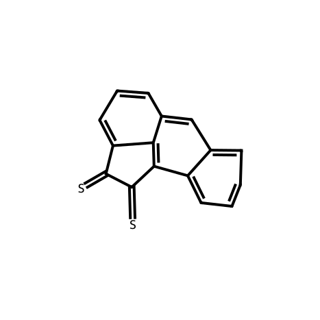 S=C1C(=S)c2c3ccccc3cc3cccc1c23